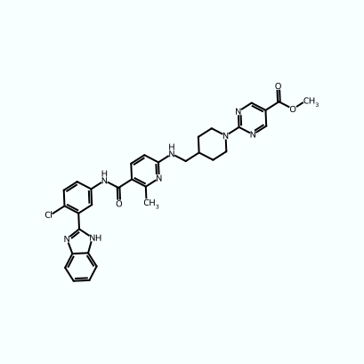 COC(=O)c1cnc(N2CCC(CNc3ccc(C(=O)Nc4ccc(Cl)c(-c5nc6ccccc6[nH]5)c4)c(C)n3)CC2)nc1